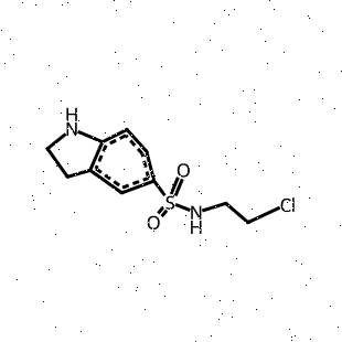 O=S(=O)(NCCCl)c1ccc2c(c1)CCN2